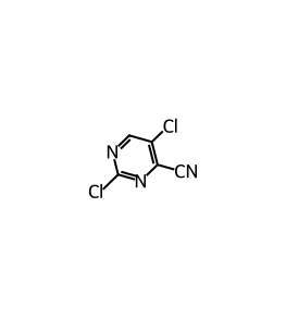 N#Cc1nc(Cl)ncc1Cl